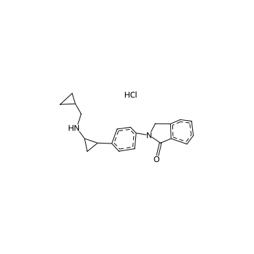 Cl.O=C1c2ccccc2CN1c1ccc(C2CC2NCC2CC2)cc1